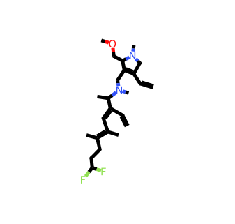 C=CC1=C(CN(C)C(C)/C(C=C)=C/C(C)=C(\C)CCC(F)F)C(COC)N(C)C1